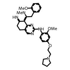 CN/C(Cc1ccccc1OC)=C1\C(=N)CCc2cnc(Nc3ccc(OCCN4CCCC4)cc3OC)nc21